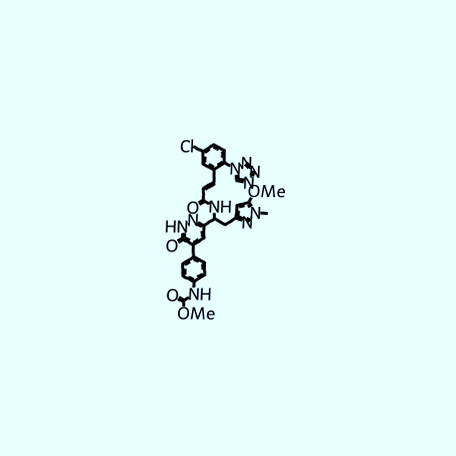 COC(=O)Nc1ccc(-c2cc(C(Cc3cc(OC)n(C)n3)NC(=O)/C=C/c3cc(Cl)ccc3-n3cnnn3)n[nH]c2=O)cc1